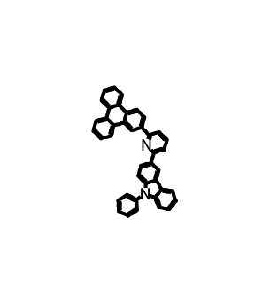 c1ccc(-n2c3ccccc3c3cc(-c4cccc(-c5ccc6c7ccccc7c7ccccc7c6c5)n4)ccc32)cc1